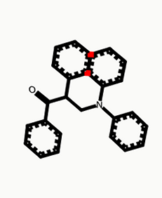 O=C(c1ccccc1)C(CN(c1ccccc1)c1ccccc1)c1ccccc1